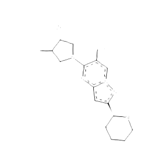 Cc1cn2nc([C@@H]3CCCCN3)cc2nc1N1CC(O)[C@H](C#N)C1